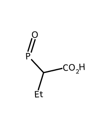 CCC(P=O)C(=O)O